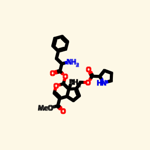 BC12C(COC(=O)C3CCCN3)=CCC1C(C(=O)OC)=COC2OC(=O)C(N)Cc1ccccc1